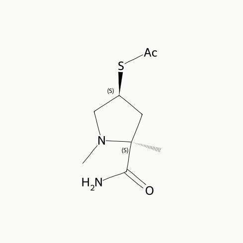 CC(=O)S[C@@H]1CN(C)[C@](C)(C(N)=O)C1